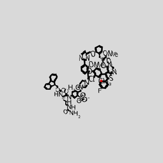 COC(=O)[C@@H](Cc1ccccc1OCc1ccnc(-c2ccccc2OC)n1)Oc1ncnc2sc(-c3ccc(F)cc3)c(-c3ccc(OCCN4CC[N+](C)(Cc5ccc(NC(=O)[C@H](CCCNC(N)=O)NC(=O)OCC6c7ccccc7-c7ccccc76)cc5S(=O)(=O)[O-])CC4)c(Cl)c3C)c12